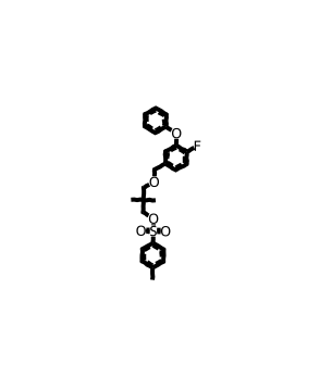 Cc1ccc(S(=O)(=O)OCC(C)(C)COCc2ccc(F)c(Oc3ccccc3)c2)cc1